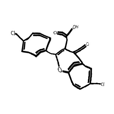 O=C(O)c1c(-c2ccc(Cl)cc2)oc2ccc(Cl)cc2c1=O